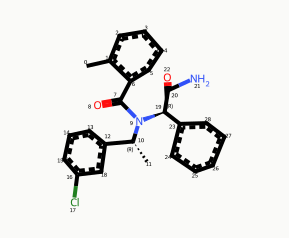 Cc1ccccc1C(=O)N([C@H](C)c1cccc(Cl)c1)[C@@H](C(N)=O)c1ccccc1